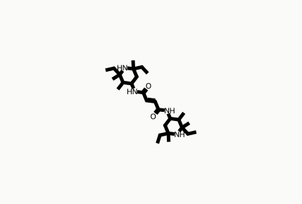 CCC1(C)CC(NC(=O)C=CC(=O)NC2CC(C)(CC)NC(C)(CC)C2C)C(C)C(C)(CC)N1